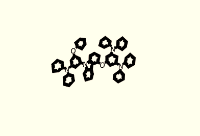 c1ccc(Oc2cc(N(c3ccccc3)c3ccccc3)cc(-n3c4ccccc4c4c(Oc5cc(N(c6ccccc6)c6ccccc6)cc(N(c6ccccc6)c6ccccc6)c5)cccc43)c2)cc1